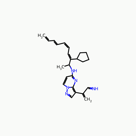 C=C/C=C/C=C\C=C(/C1CCCC1)C(C)Nc1ccn2ncc(C(=C)C=N)c2n1